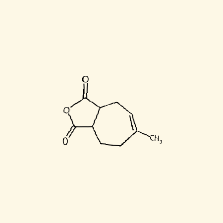 CC1=CCC2C(=O)OC(=O)C2CC1